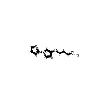 CCCCOC1=C[SH](c2cccs2)C=C1